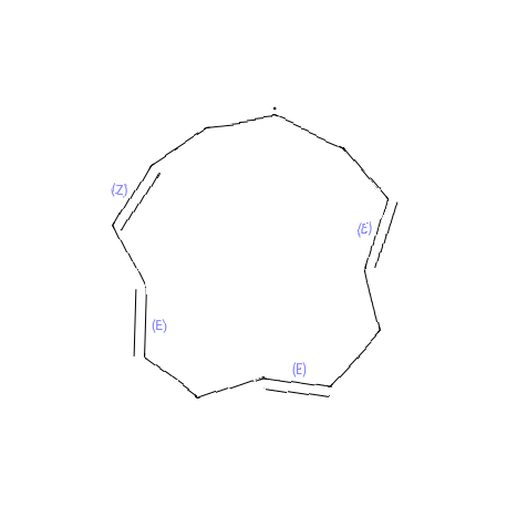 [CH]1C/C=C\C=C\C/C=C/C/C=C/C1